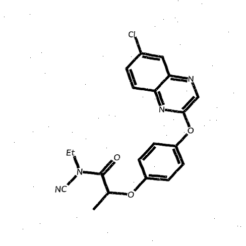 CCN(C#N)C(=O)C(C)Oc1ccc(Oc2cnc3cc(Cl)ccc3n2)cc1